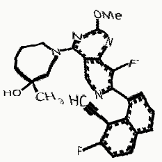 C#Cc1c(F)ccc2cccc(-c3ncc4c(N5CCC[C@@](C)(O)C5)nc(OC)nc4c3F)c12